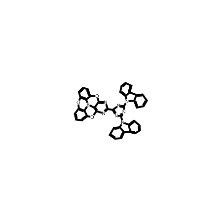 c1cc2c3c(c1)Oc1nc(-c4nc(-n5c6ccccc6c6ccccc65)nc(-n5c6ccccc6c6ccccc65)n4)nc4c1B3c1c(cccc1O4)O2